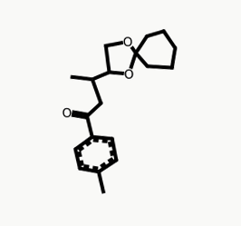 Cc1ccc(C(=O)CC(C)C2COC3(CCCCC3)O2)cc1